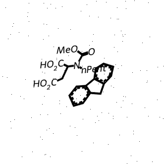 CCCCCN(C(=O)OC)C(CC(=O)O)C(=O)O.c1ccc2c(c1)Cc1ccccc1-2